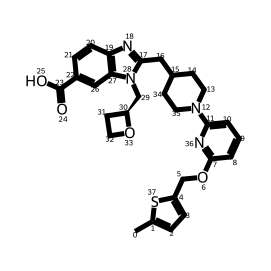 Cc1ccc(COc2cccc(N3CCC(Cc4nc5ccc(C(=O)O)cc5n4C[C@@H]4CCO4)CC3)n2)s1